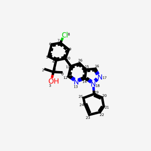 CC(C)(O)c1ccc(Cl)cc1-c1cnc2c(cnn2C2=CC=CC=CC2)c1